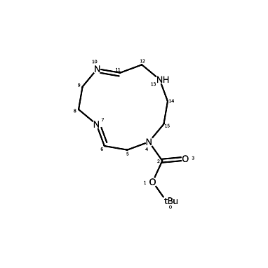 CC(C)(C)OC(=O)N1C/C=N/CC/N=C/CNCC1